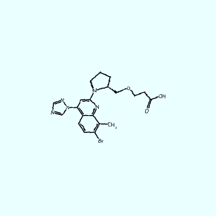 Cc1c(Br)ccc2c(-n3cncn3)cc(N3CCC[C@H]3COCCC(=O)O)nc12